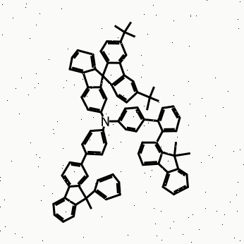 CC(C)(C)c1ccc2c(c1)-c1cc(C(C)(C)C)ccc1C21c2ccccc2-c2ccc(N(c3ccc(-c4ccc5c(c4)C(C)(c4ccccc4)c4ccccc4-5)cc3)c3ccc(-c4ccccc4-c4cccc5c4C(C)(C)c4ccccc4-5)cc3)cc21